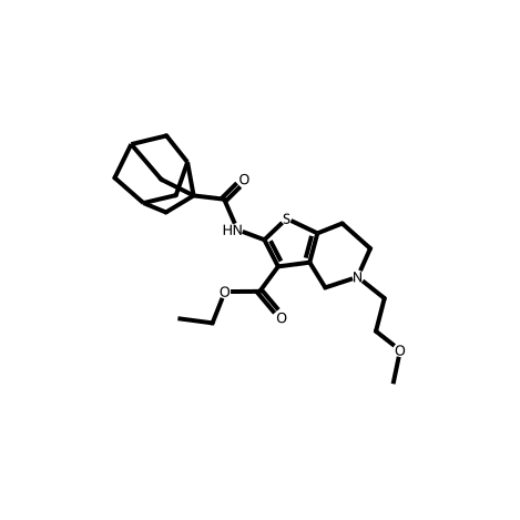 CCOC(=O)c1c(NC(=O)C23CC4CC(CC2C4)C3)sc2c1CN(CCOC)CC2